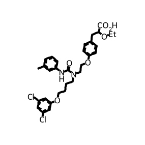 CCOC(Cc1ccc(OCCN(CCCCOc2cc(Cl)cc(Cl)c2)C(=O)Nc2cccc(C)c2)cc1)C(=O)O